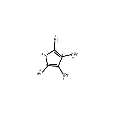 CCCc1c(CC)sc(C(C)C)c1C(C)C